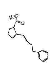 COC(=O)C1CCCC1CCCCc1ccccc1